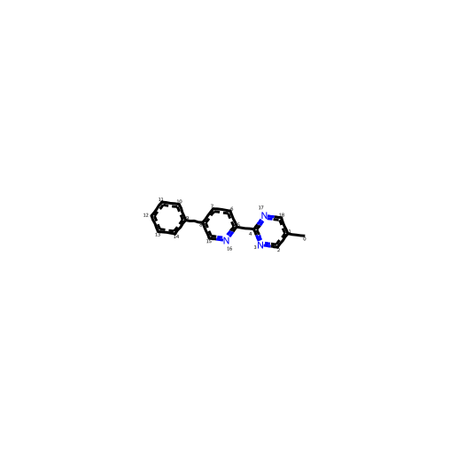 Cc1cnc(-c2ccc(-c3ccccc3)cn2)nc1